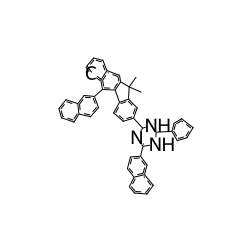 CC1(C)c2cc(C3N=C(c4ccc5ccccc5c4)NC(c4ccccc4)N3)ccc2-c2c1cc1ccccc1c2-c1ccc2ccccc2c1